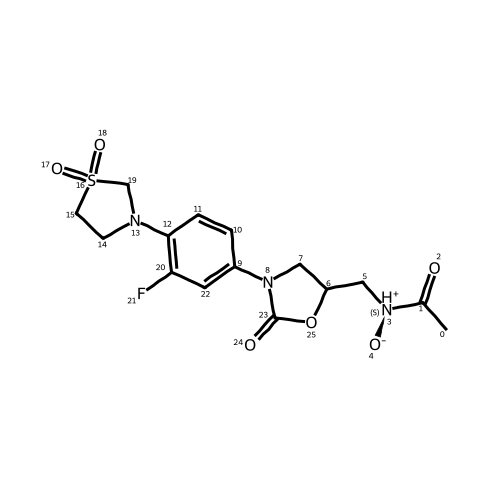 CC(=O)[N@@H+]([O-])CC1CN(c2ccc(N3CCS(=O)(=O)C3)c(F)c2)C(=O)O1